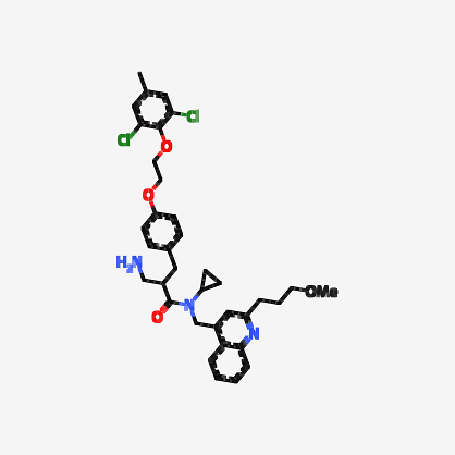 COCCCc1cc(CN(C(=O)C(CN)Cc2ccc(OCCOc3c(Cl)cc(C)cc3Cl)cc2)C2CC2)c2ccccc2n1